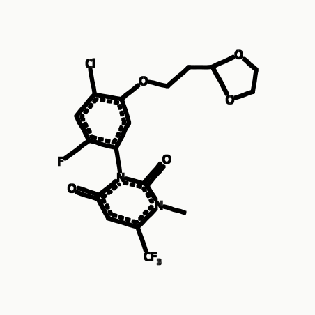 Cn1c(C(F)(F)F)cc(=O)n(-c2cc(OCCC3OCCO3)c(Cl)cc2F)c1=O